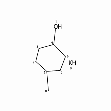 CC1CCC(O)CC1.[KH]